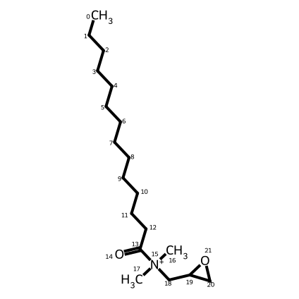 CCCCCCCCCCCCCC(=O)[N+](C)(C)CC1CO1